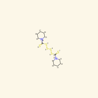 S=C(SSSSC(=S)N1CCCCC1)N1CCCCC1